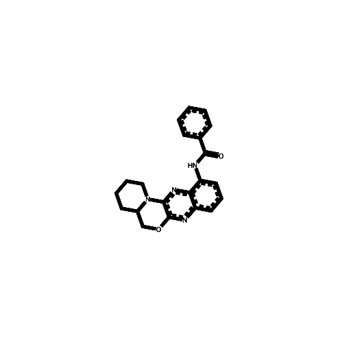 O=C(Nc1cccc2nc3c(nc12)N1CCCCC1CO3)c1ccccc1